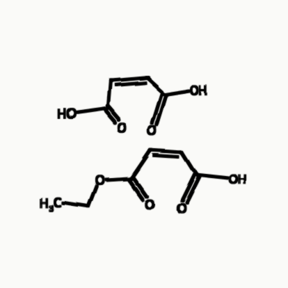 CCOC(=O)/C=C\C(=O)O.O=C(O)/C=C\C(=O)O